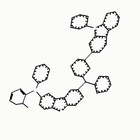 CC1CC=CC=C1N(c1ccccc1)c1ccc2sc3ccc(C(c4ccccc4)c4cccc(-c5ccc6c7ccccc7n(-c7ccccc7)c6c5)c4)cc3c2c1